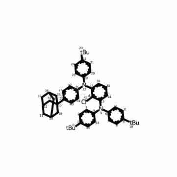 CC(C)(C)c1ccc(N(c2ccc(C(C)(C)C)cc2)c2cccc(N(c3ccc(C(C)(C)C)cc3)c3ccc(C45CC6CC(CC(C6)C4)C5)cc3)c2Cl)cc1